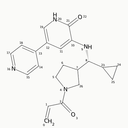 C=CC(=O)N1CCC([C@H](Nc2cc(-c3ccncc3)c[nH]c2=O)C2CC2)C1